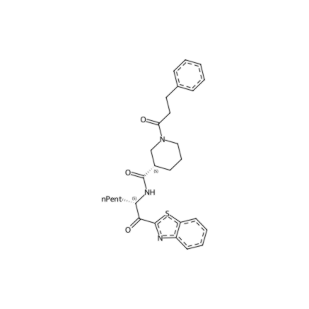 CCCCC[C@H](NC(=O)[C@H]1CCCN(C(=O)CCc2ccccc2)C1)C(=O)c1nc2ccccc2s1